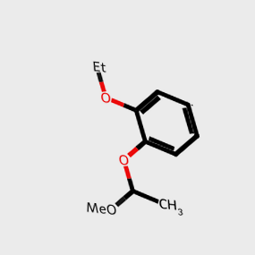 CCOc1c[c]ccc1OC(C)OC